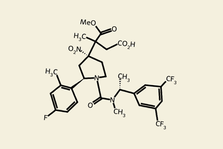 COC(=O)C(C)(CC(=O)O)[C@@]1([N+](=O)[O-])CCN(C(=O)N(C)[C@H](C)c2cc(C(F)(F)F)cc(C(F)(F)F)c2)[C@@H](c2ccc(F)cc2C)C1